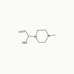 C=CC(O)N1CCN(C)CC1